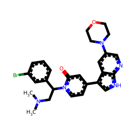 CN(C)CC(c1cccc(Br)c1)n1ccc(-c2c[nH]c3ncc(N4CCOCC4)cc23)cc1=O